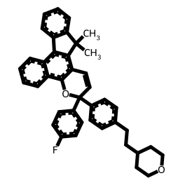 CC1(C)c2ccccc2-c2c1c1c(c3ccccc23)OC(c2ccc(F)cc2)(c2ccc(CCC3CCOCC3)cc2)C=C1